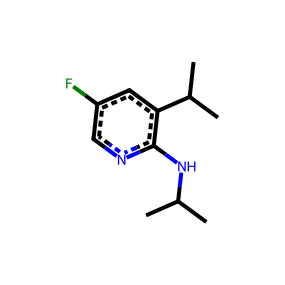 CC(C)Nc1ncc(F)cc1C(C)C